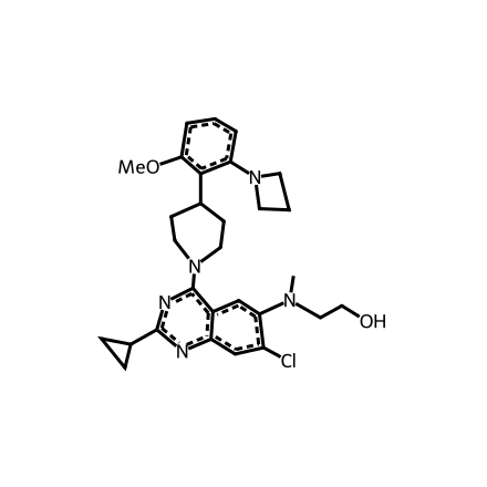 COc1cccc(N2CCC2)c1C1CCN(c2nc(C3CC3)nc3cc(Cl)c(N(C)CCO)cc23)CC1